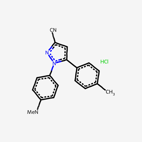 CNc1ccc(-n2nc(C#N)cc2-c2ccc(C)cc2)cc1.Cl